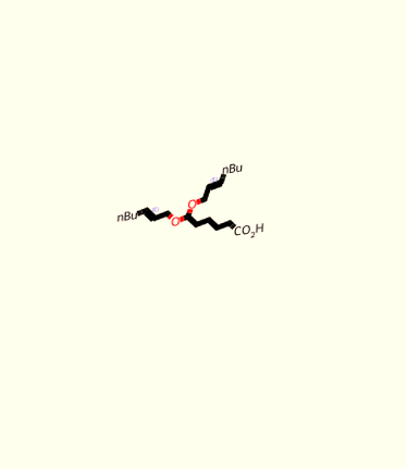 CCCC/C=C/COC(CCCCC(=O)O)OC/C=C/CCCC